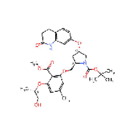 COC(=O)c1c(OC[C@H]2C[C@H](Oc3ccc4c(c3)NC(=O)CC4)CN2C(=O)OC(C)(C)C)cc(C)cc1O[C@@H](C)CO